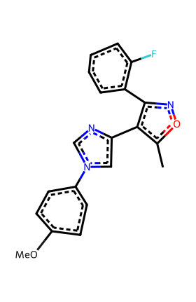 COc1ccc(-n2cnc(-c3c(-c4ccccc4F)noc3C)c2)cc1